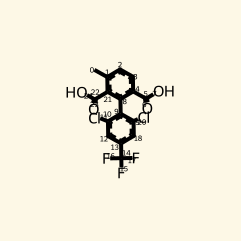 Cc1ccc(C(=O)O)c(-c2c(Cl)cc(C(F)(F)F)cc2Cl)c1C(=O)O